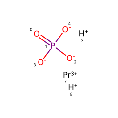 O=P([O-])([O-])[O-].[H+].[H+].[Pr+3]